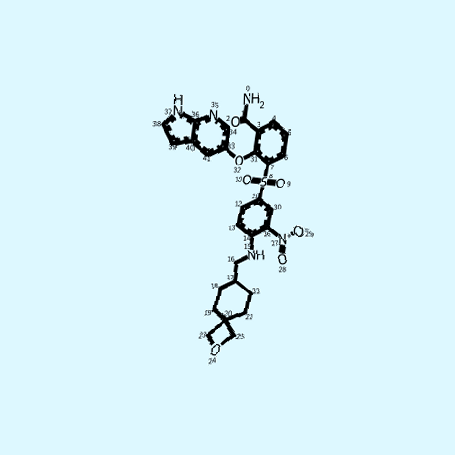 NC(=O)c1cccc(S(=O)(=O)c2ccc(NCC3CCC4(CC3)COC4)c([N+](=O)[O-])c2)c1Oc1cnc2[nH]ccc2c1